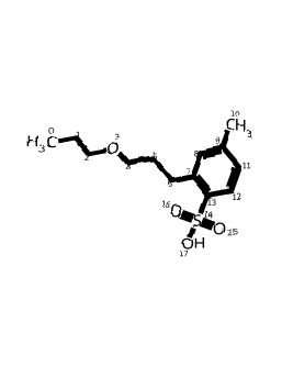 CCCOCCCc1cc(C)ccc1S(=O)(=O)O